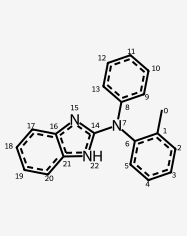 Cc1ccccc1N(c1ccccc1)c1nc2ccccc2[nH]1